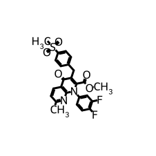 COC(=O)c1c(Cc2ccc(S(C)(=O)=O)cc2)c(=O)c2ccc(C)nc2n1-c1ccc(F)c(F)c1